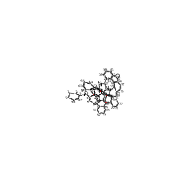 c1ccc(-n2c3ccccc3c3c(-c4nc(-c5ccc6ccccc6c5)nc(-c5cccc6oc7ccc8ccc(-n9c%10ccccc%10c%10cc%11ccccc%11cc%109)cc8c7c56)n4)cccc32)cc1